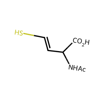 CC(=O)NC(C=CS)C(=O)O